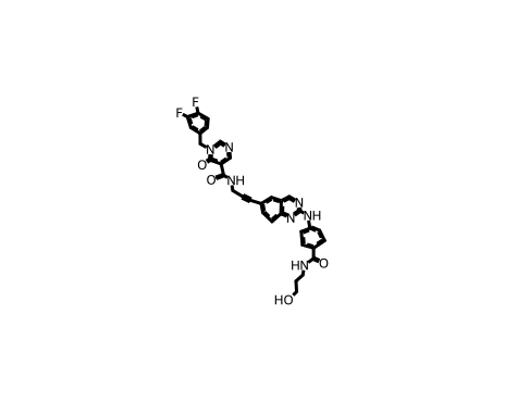 O=C(NCCCO)c1ccc(Nc2ncc3cc(C#CCNC(=O)c4cncn(Cc5ccc(F)c(F)c5)c4=O)ccc3n2)cc1